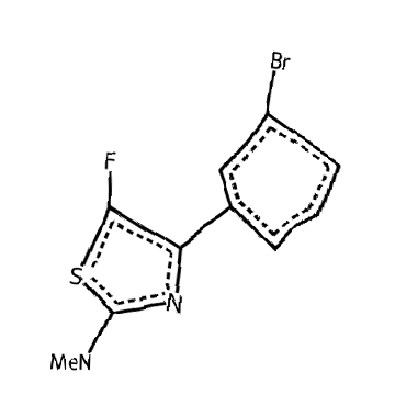 CNc1nc(-c2cccc(Br)c2)c(F)s1